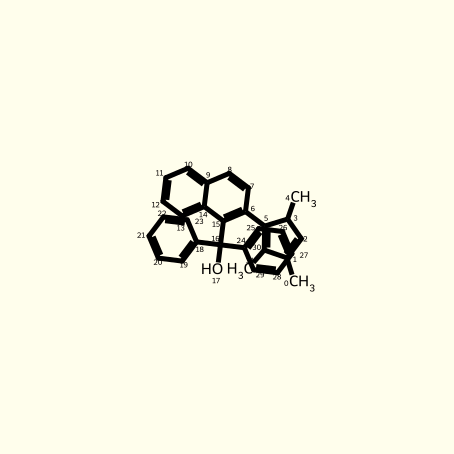 CC1=CC(C)C(c2ccc3ccccc3c2C(O)(c2ccccc2)c2ccccc2)=C1C